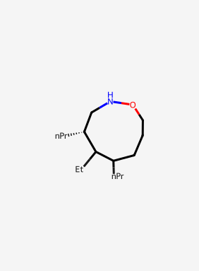 CCCC1CCCONC[C@@H](CCC)C1CC